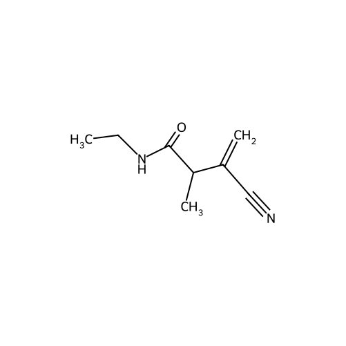 C=C(C#N)C(C)C(=O)NCC